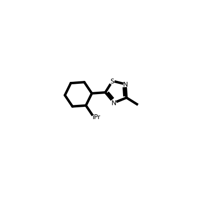 Cc1nsc(C2CCCCC2C(C)C)n1